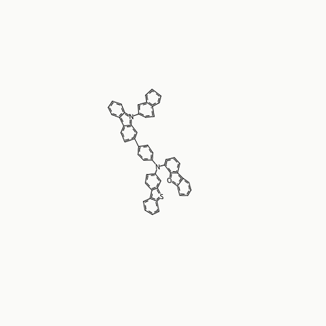 c1ccc2cc(-n3c4ccccc4c4ccc(-c5ccc(N(c6ccc7c(c6)sc6ccccc67)c6cccc7c6oc6ccccc67)cc5)cc43)ccc2c1